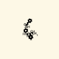 CN(C)c1nc(N[C@H]2CC[C@@H](CNC(=O)CCC3CCCCC3)CC2)nc2ccccc12